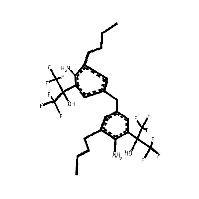 CCCCc1cc(Cc2cc(CCCC)c(N)c(C(O)(C(F)(F)F)C(F)(F)F)c2)cc(C(O)(C(F)(F)F)C(F)(F)F)c1N